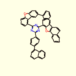 c1ccc(-c2ccc3oc4cccc(-c5nc(-c6ccc(-c7cccc8ccccc78)cc6)nc(-c6cccc7c6oc6c8ccccc8ccc76)n5)c4c3c2)cc1